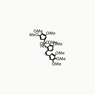 COc1cc(/C=C\c2ccc(OC)c(OC)c2NS(=O)(=O)c2cc(OC)c(OC)c(OC)c2)cc(OC)c1OC